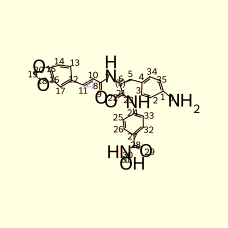 Nc1ccc(C[C@H](NC(=O)/C=C/c2ccc3c(c2)OCO3)C(=O)Nc2ccc(C(=O)NO)cc2)cc1